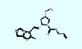 C=CCOC(=O)N1C[C@@H](SC(C)=O)C[C@H]1/C=C/c1c(C)sc2cncn12